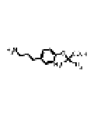 CC(C)(Oc1ccc(CCCN)cc1)C(=O)O